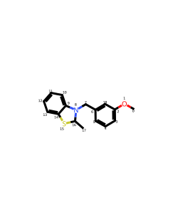 COc1cccc(CN2c3ccccc3SC2C)c1